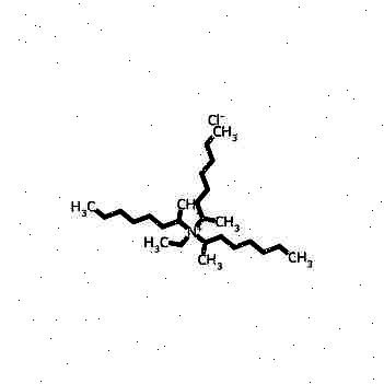 CCCCCCC(C)[N+](CC)(C(C)CCCCCC)C(C)CCCCCC.[Cl-]